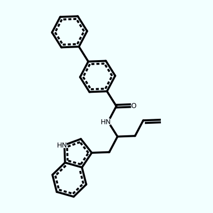 C=CCC(Cc1c[nH]c2ccccc12)NC(=O)c1ccc(-c2ccccc2)cc1